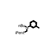 CCCCN(CC(C)CCC)c1cccc(C)c1